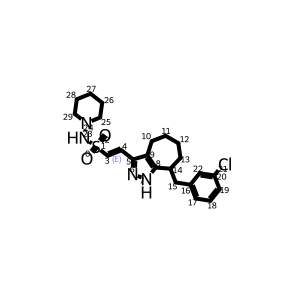 O=S(=O)(/C=C/c1n[nH]c2c1CCCCC2Cc1cccc(Cl)c1)NN1CCCCC1